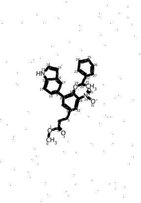 COC(=O)CCc1cc(-c2ccc3[nH]ccc3c2)c(OC(C)c2ccccc2)c([N+](=O)[O-])c1